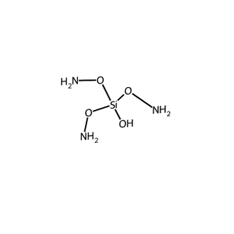 NO[Si](O)(ON)ON